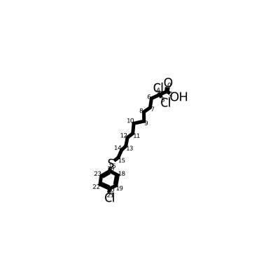 O=C(O)C(Cl)(Cl)CCCCCCCCCCSc1ccc(Cl)cc1